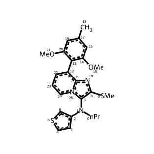 CCCN(c1ccsc1)c1c(SC)nc2c(-c3c(OC)cc(C)cc3OC)cccn12